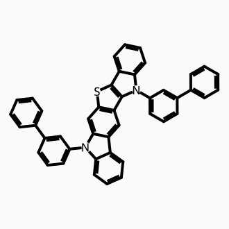 c1ccc(-c2cccc(-n3c4ccccc4c4cc5c(cc43)sc3c4ccccc4n(-c4cccc(-c6ccccc6)c4)c53)c2)cc1